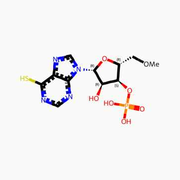 COC[C@H]1O[C@@H](n2cnc3c(S)ncnc32)[C@H](O)[C@@H]1OP(=O)(O)O